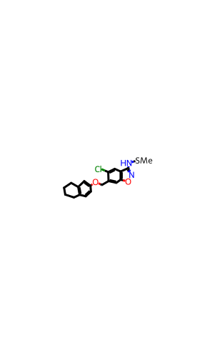 CSNc1noc2cc(COc3ccc4c(c3)CCCC4)c(Cl)cc12